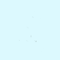 CCS(=O)(=O)N(C)C1CCN(c2cc(NC(=O)C3CC3)nc3[nH]ccc23)C1